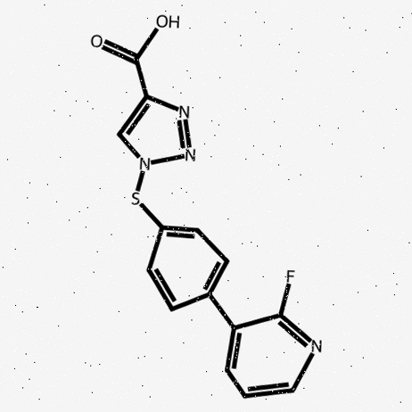 O=C(O)c1cn(Sc2ccc(-c3cccnc3F)cc2)nn1